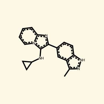 Cc1n[nH]c2ccc(-c3nc4ccccn4c3NC3CC3)cc12